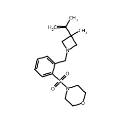 C=C(C)C1(C)CN(Cc2ccccc2S(=O)(=O)N2CCOCC2)C1